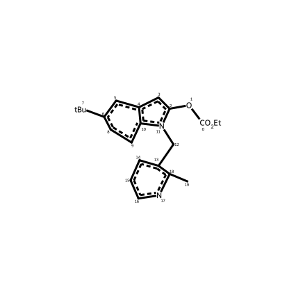 CCOC(=O)Oc1cc2cc(C(C)(C)C)ccc2n1Cc1cccnc1C